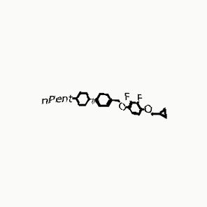 CCCCCC1CCC([C@H]2CC=C(COc3ccc(OCC4CC4)c(F)c3F)CC2)CC1